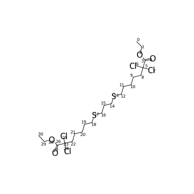 CCOC(=O)C(Cl)(Cl)CCCCCSCCCSCCCCCC(Cl)(Cl)C(=O)OCC